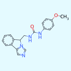 COc1ccc(NC(=O)NCC2c3ccccc3-c3cncn32)cc1